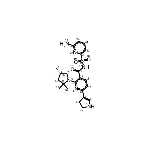 C[C@@H]1CN(c2nc(C3=CNCC3)ccc2C(=O)NS(=O)(=O)c2cccc(N)n2)C(C)(C)C1